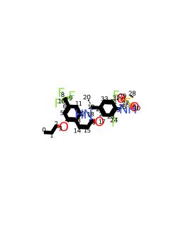 CCCOc1cc(C(F)(F)F)ccc1/C=C\C(=O)N[C@H](C)c1cc(F)c(NS(C)(=O)=O)c(F)c1